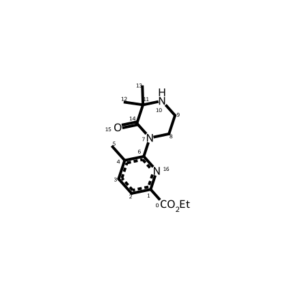 CCOC(=O)c1ccc(C)c(N2CCNC(C)(C)C2=O)n1